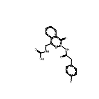 O=C(O)NCc1nn(NC(=O)Cc2ccc(F)cc2)c(=O)c2ccccc12